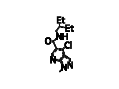 CCC(CC)CNC(=O)c1cnc2c(cnn2C)c1Cl